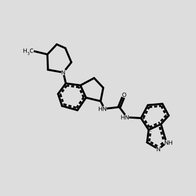 CC1CCCN(c2cccc3c2CCC3NC(=O)Nc2cccc3[nH]ncc23)C1